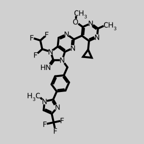 COc1nc(C)nc(C2CC2)c1-c1ncc2c(n1)n(Cc1ccc(-c3nc(C(F)(F)F)cn3C)cc1)c(=N)n2C(F)C(F)F